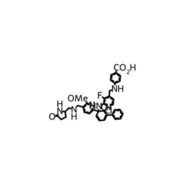 COc1nc(C2(Nc3nccc(CNc4ccc(C(=O)O)cc4)c3F)C=CC=C(c3ccccc3)C2(Cl)Cl)ccc1CNCC1CCC(=O)N1